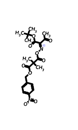 CC(=O)/C(=N/OC(=O)C(C)(C)C(=O)OCc1ccc([N+](=O)[O-])cc1)C(=O)OC(C)(C)C